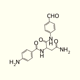 NC(=O)CC(NC(=O)c1ccc(N)cc1)C(=O)Nc1ccc(C=O)cc1